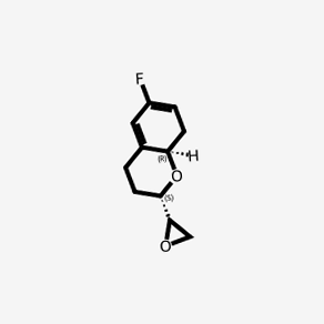 FC1=CC[C@H]2O[C@H](C3CO3)CCC2=C1